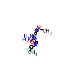 CC#CC(=O)N1CC[C@]2(C1)C[C@H](n1nc(-c3ccn(Cc4cccc(C(C)(F)F)c4)n3)c(C(N)=O)c1N)C2